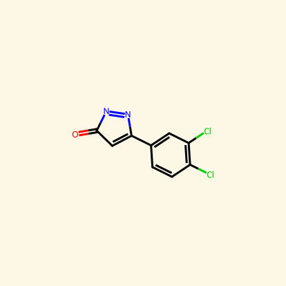 O=C1C=C(c2ccc(Cl)c(Cl)c2)N=N1